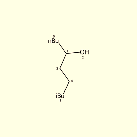 CCCCC(O)CCC(C)CC